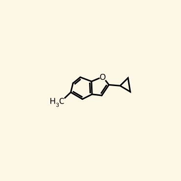 Cc1ccc2oc(C3CC3)cc2c1